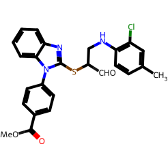 COC(=O)c1ccc(-n2c(SC(C=O)CNc3ccc(C)cc3Cl)nc3ccccc32)cc1